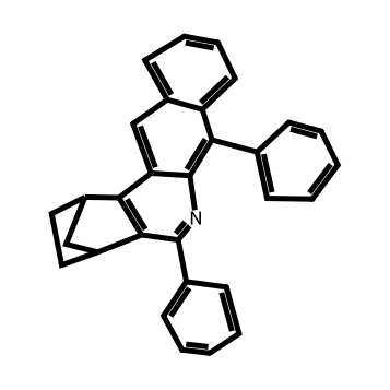 c1ccc(-c2nc3c(-c4ccccc4)c4ccccc4cc3c3c2C2CCC3C2)cc1